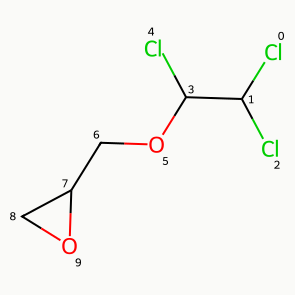 ClC(Cl)C(Cl)OCC1CO1